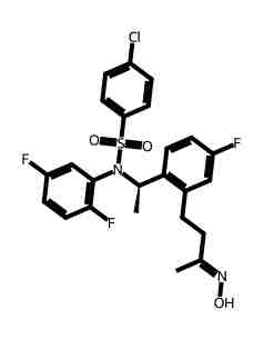 C/C(CCc1cc(F)ccc1[C@@H](C)N(c1cc(F)ccc1F)S(=O)(=O)c1ccc(Cl)cc1)=N\O